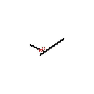 CCCCCCCCCCCCCCC(CCC)C(=O)OCCCCCCC